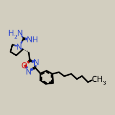 CCCCCCCc1cccc(-c2noc(C[C@@H]3CCCN3C(=N)N)n2)c1